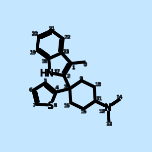 Cc1c(C2(c3cccs3)CCC(N(C)C)CC2)[nH]c2ccccc12